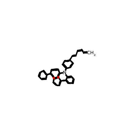 C=C/C=C\C=C\c1ccc(N(c2ccc(-c3ccccc3)cc2)c2ccccc2-c2ccccc2)cc1